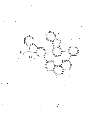 CC1(C)c2ccccc2-c2ccc(-c3ccc4ccc5ccc(-c6ccccc6-c6cccc7c6sc6ccccc67)nc5c4n3)cc21